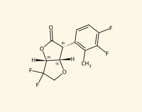 Cc1c([C@H]2C(=O)O[C@@H]3[C@H]2OCC3(F)F)ccc(F)c1F